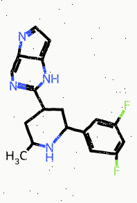 CC1CC(c2ncc3nccc-3[nH]2)CC(c2cc(F)cc(F)c2)N1